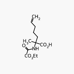 C=CCCCC(C)(NC(=O)C(=O)OCC)C(=O)O